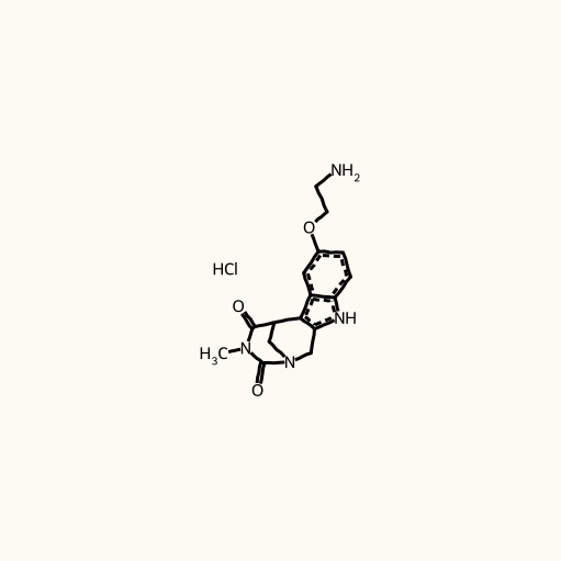 CN1C(=O)C2CN(Cc3[nH]c4ccc(OCCN)cc4c32)C1=O.Cl